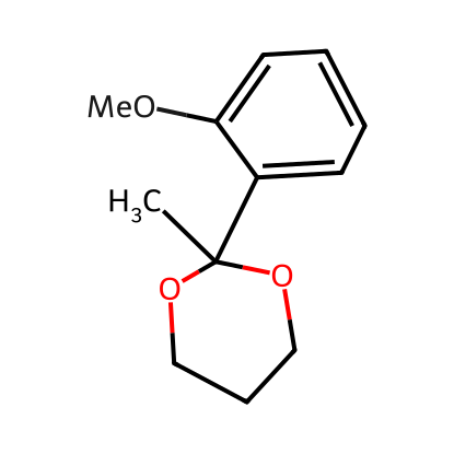 COc1ccccc1C1(C)OCCCO1